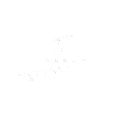 Cn1cc2cc(-c3nc4ccc(OCC(F)(F)F)nc4n(-c4ccc(NC(=O)O)cc4)c3=O)ccc2n1